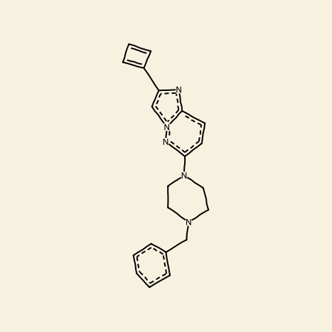 C1=CC(c2cn3nc(N4CCN(Cc5ccccc5)CC4)ccc3n2)=C1